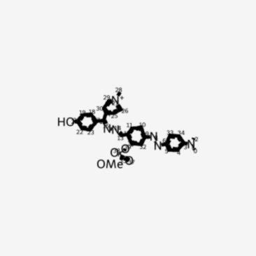 CN(C)c1ccc(/N=N/c2ccc(/C=N/N=C(/c3ccc(O)cc3)c3cc[n+](C)cc3)cc2)cc1.COS(=O)(=O)[O-]